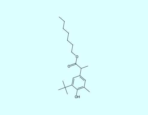 CCCCCCCOC(=O)C(C)c1cc(C)c(O)c(C(C)(C)C)c1